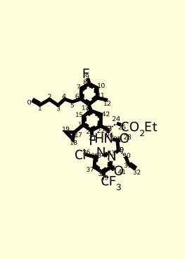 C=CCCCCc1cc(F)cc(C)c1-c1cc(C2CC2)c(F)c([C@H](CC(=O)OCC)NC(=O)[C@H](CC=C)n2nc(Cl)cc(C(F)(F)F)c2=O)c1